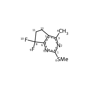 CSc1nc(C)c2c(n1)C(F)(F)CC2